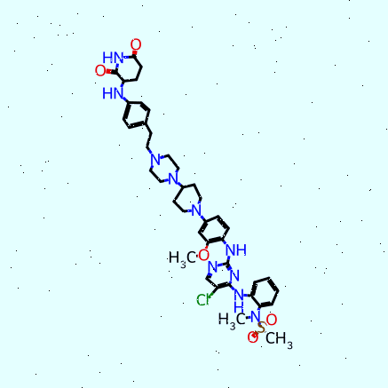 COc1cc(N2CCC(N3CCN(CCc4ccc(NC5CCC(=O)NC5=O)cc4)CC3)CC2)ccc1Nc1ncc(Cl)c(Nc2ccccc2N(C)S(C)(=O)=O)n1